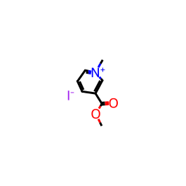 COC(=O)c1ccc[n+](C)c1.[I-]